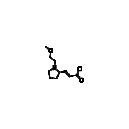 COCCN1CCC[C@@H]1/C=C/C(=O)Cl